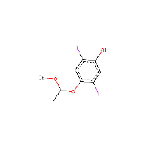 CCOC(C)Oc1cc(I)c(O)cc1I